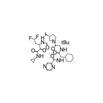 CC(C)(C)[C@H](NC(=O)[C@@H](NC(=O)c1cnccn1)C1CCCCC1)C(=O)N1CC[C@H](I)[C@H]1C(=O)NC(CC(F)F)C(=O)C(=O)NC1CC1